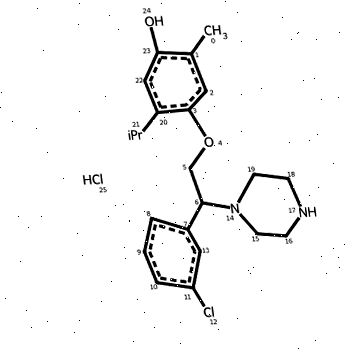 Cc1cc(OCC(c2cccc(Cl)c2)N2CCNCC2)c(C(C)C)cc1O.Cl